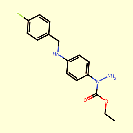 CCOC(=O)N(N)c1ccc(NCc2ccc(F)cc2)cc1